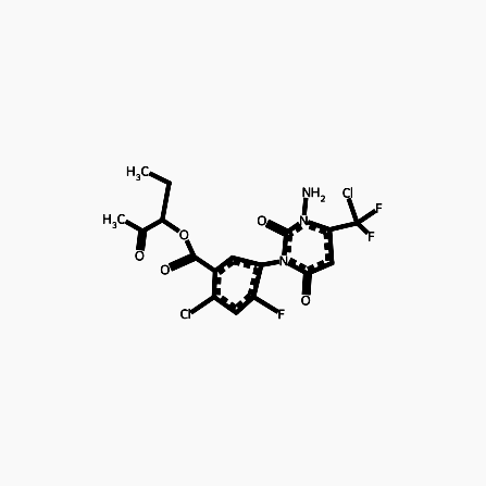 CCC(OC(=O)c1cc(-n2c(=O)cc(C(F)(F)Cl)n(N)c2=O)c(F)cc1Cl)C(C)=O